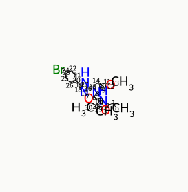 CCC(=O)N[C@H](C(=O)N1C[C@@H](COC)C[C@H]1c1ncc(-c2ccc(Br)cc2)[nH]1)C(C)C